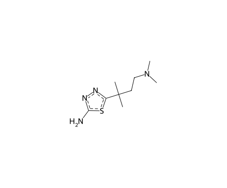 CN(C)CCC(C)(C)c1nnc(N)s1